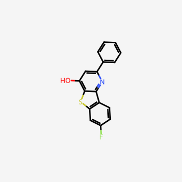 Oc1cc(-c2ccccc2)nc2c1sc1cc(F)ccc12